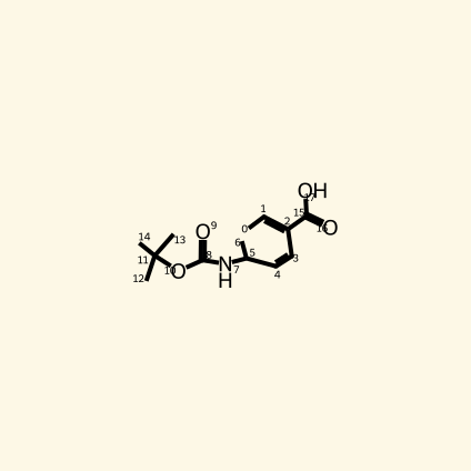 C/C=C(\C=C/C(C)NC(=O)OC(C)(C)C)C(=O)O